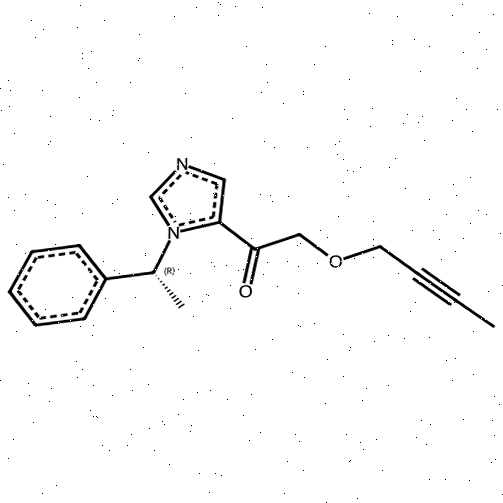 CC#CCOCC(=O)c1cncn1[C@H](C)c1ccccc1